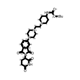 CC(C)(C)OC(=O)NC1CCN(CCN2CCN(c3ccc4c(c3)C(=O)N(C3CCC(=O)NC3=O)C4=O)CC2)CC1